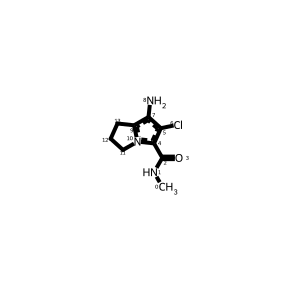 CNC(=O)c1c(Cl)c(N)c2n1CCC2